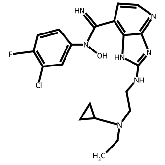 CCN(CCNc1nc2nccc(C(=N)N(O)c3ccc(F)c(Cl)c3)c2[nH]1)C1CC1